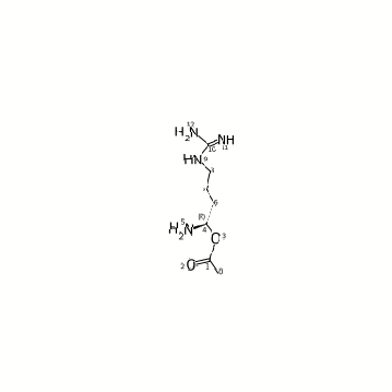 CC(=O)O[C@@H](N)CCCNC(=N)N